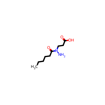 CCCCCC(=O)N(N)CCC(=O)O